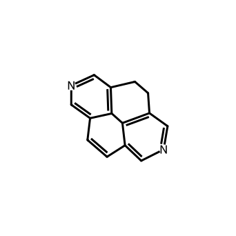 c1ncc2ccc3cncc4c3c2c1CC4